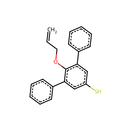 C=CCOc1c(-c2ccccc2)cc(S)cc1-c1ccccc1